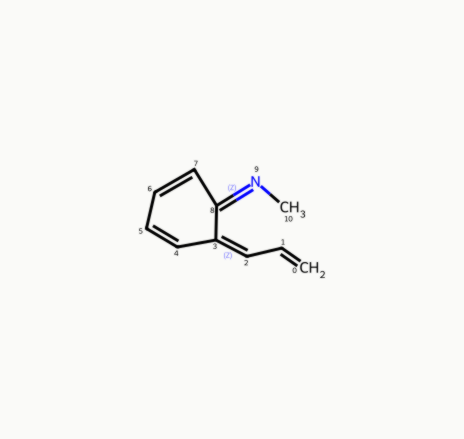 C=C/C=C1/C=CC=C/C1=N/C